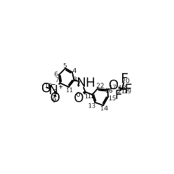 O=C(Nc1cccc([N+](=O)[O-])c1)c1cccc(OC(F)(F)F)c1